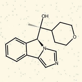 C[C@](O)(C1CCOCC1)[C@@H]1c2ccccc2-c2cncn21